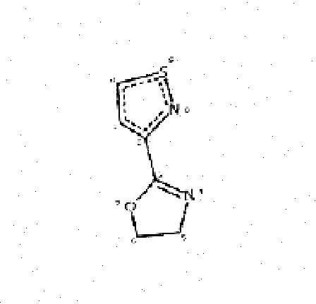 c1cc(C2=NCCO2)ns1